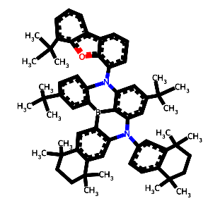 CC(C)(C)c1ccc2c(c1)B1c3cc4c(cc3N(c3ccc5c(c3)C(C)(C)CCC5(C)C)c3cc(C(C)(C)C)cc(c31)N2c1cccc2c1oc1c(C(C)(C)C)cccc12)C(C)(C)CCC4(C)C